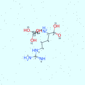 N=C(N)NCCCC(N)C(=O)O.O[SiH](O)O